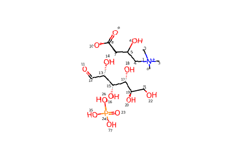 C[N+](C)(C)CC(O)CC(=O)[O-].O=C[C@H](O)[C@@H](O)[C@H](O)[C@H](O)CO.O=P(O)(O)O